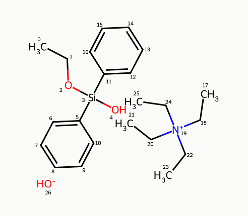 CCO[Si](O)(c1ccccc1)c1ccccc1.CC[N+](CC)(CC)CC.[OH-]